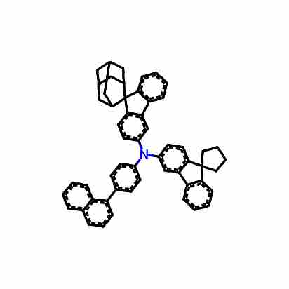 c1ccc2c(c1)-c1cc(N(c3ccc(-c4cccc5ccccc45)cc3)c3ccc4c(c3)-c3ccccc3C43C4CC5CC(C4)CC3C5)ccc1C21CCCC1